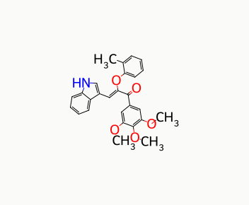 COc1cc(C(=O)C(=Cc2c[nH]c3ccccc23)Oc2ccccc2C)cc(OC)c1OC